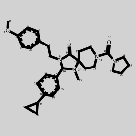 COc1ccc(CCN2C(=O)C3(CCN(C(=O)N4CCCC4)CC3)N(C)C2c2ccc(C3CC3)cc2)cc1